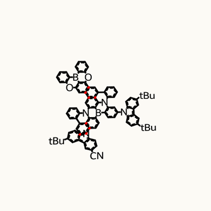 CC(C)(C)c1ccc2c(c1)c1cc(C#N)ccc1n2-c1ccc2c(c1)N(c1ccccc1-c1ccccc1)c1cc(-c3cc4c5c(c3)Oc3ccccc3B5c3ccccc3O4)cc3c1B2c1ccc(-n2c4ccc(C(C)(C)C)cc4c4cc(C(C)(C)C)ccc42)cc1N3c1ccccc1-c1ccccc1